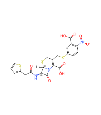 O=C(Cc1cccs1)N[C@@H]1C(=O)N2C(C(=O)O)=C(CSc3ccc([N+](=O)[O-])c(C(=O)O)c3)CS[C@@H]12